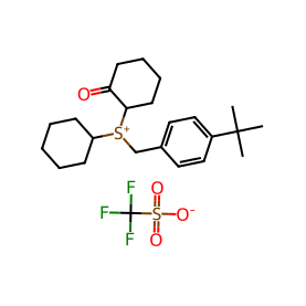 CC(C)(C)c1ccc(C[S+](C2CCCCC2)C2CCCCC2=O)cc1.O=S(=O)([O-])C(F)(F)F